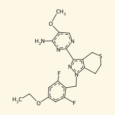 CCOc1cc(F)c(Cn2nc(-c3ncc(OC)c(N)n3)c3c2CCSC3)c(F)c1